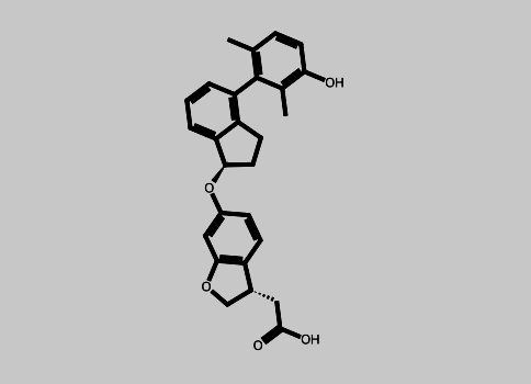 Cc1ccc(O)c(C)c1-c1cccc2c1CC[C@H]2Oc1ccc2c(c1)OC[C@H]2CC(=O)O